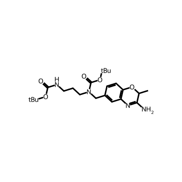 CC1Oc2ccc(CN(CCCNC(=O)OC(C)(C)C)C(=O)OC(C)(C)C)cc2N=C1N